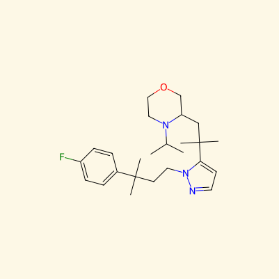 CC(C)N1CCOCC1CC(C)(C)c1ccnn1CCC(C)(C)c1ccc(F)cc1